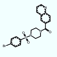 O=C(c1ccc2ncccc2c1)N1CCN(S(=O)(=O)c2ccc(Br)cc2)CC1